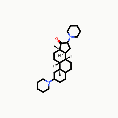 C[C@]12CC(N3CCCCC3)CCC1CC[C@@H]1[C@H]2CC[C@]2(C)C(=O)C(N3CCCCC3)C[C@@H]12